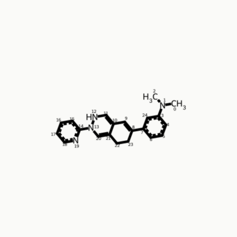 CN(C)c1cccc(C2=CC3=CNN(c4ccccn4)C=C3CC2)c1